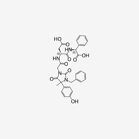 CC1(c2ccc(O)cc2)C(=O)N(CC(=O)N[C@@H](CC(=O)O)C(=O)N[C@H](C(=O)O)c2ccccc2)C(=O)N1Cc1ccccc1